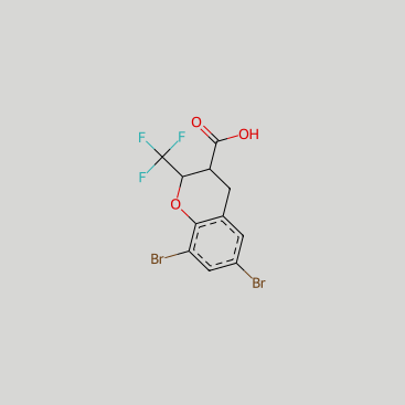 O=C(O)C1Cc2cc(Br)cc(Br)c2OC1C(F)(F)F